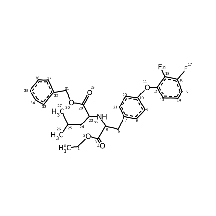 CCOC(=O)C(Cc1ccc(Oc2cccc(F)c2F)cc1)NC(CC(C)C)C(=O)OCc1ccccc1